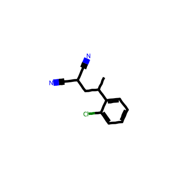 CC(CC(C#N)C#N)c1ccccc1Cl